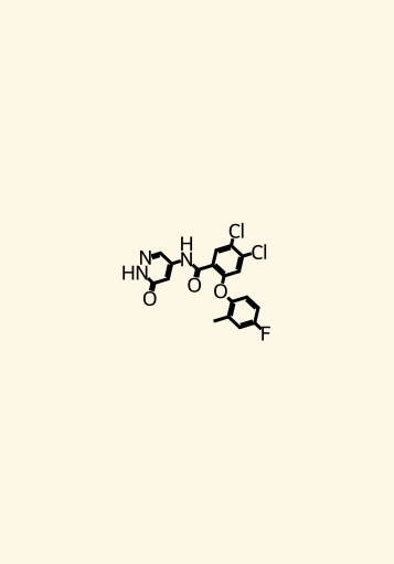 Cc1cc(F)ccc1Oc1cc(Cl)c(Cl)cc1C(=O)Nc1cn[nH]c(=O)c1